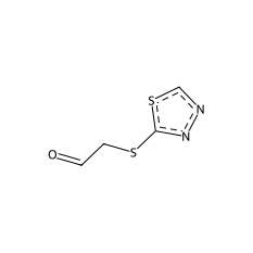 O=CCSc1nncs1